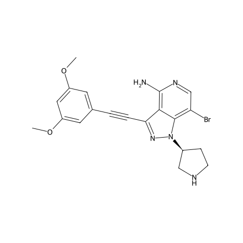 COc1cc(C#Cc2nn([C@H]3CCNC3)c3c(Br)cnc(N)c23)cc(OC)c1